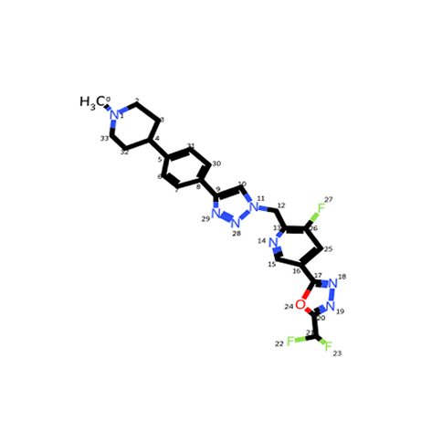 CN1CCC(c2ccc(-c3cn(Cc4ncc(-c5nnc(C(F)F)o5)cc4F)nn3)cc2)CC1